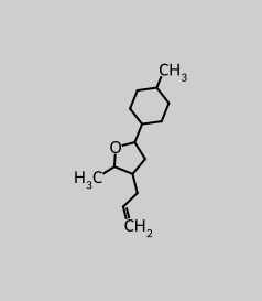 C=CCC1CC(C2CCC(C)CC2)OC1C